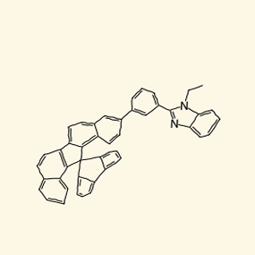 CCn1c(-c2cccc(-c3ccc4c5c(ccc4c3)-c3ccc4ccccc4c3C53c4ccccc4-c4ccccc43)c2)nc2ccccc21